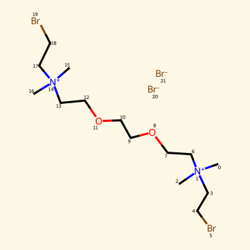 C[N+](C)(CCBr)CCOCCOCC[N+](C)(C)CCBr.[Br-].[Br-]